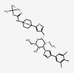 CO[C@@H]1[C@@H](n2cc(-c3cc(F)c(F)c(F)c3)nn2)[C@@H](O)[C@@H](CO)O[C@@H]1Cc1cc(C23CCC(NC(=O)OC(C)(C)C)(CC2)CC3)on1